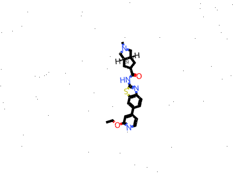 CCOc1cc(-c2ccc3nc(NC(=O)C4C[C@@H]5CN(C)C[C@@H]5C4)sc3c2)ccn1